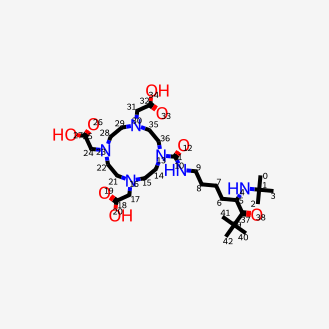 CC(C)(C)NC(CCCCNC(=O)N1CCN(CC(=O)O)CCN(CC(=O)O)CCN(CC(=O)O)CC1)C(=O)C(C)(C)C